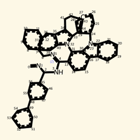 C=NC(N/C(=N\Cc1ccccc1)c1ccc2c3ccccc3n(-c3ccccc3)c2c1-n1c2c(c3ccccc31)CCC=C2)c1ccc(-c2ccccc2)cc1